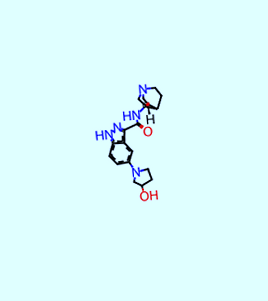 O=C(N[C@@H]1CN2CCC1CC2)c1n[nH]c2ccc(N3CCC(O)C3)cc12